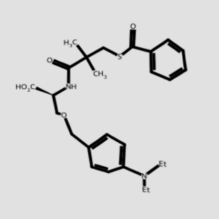 CCN(CC)c1ccc(COC[C@H](NC(=O)C(C)(C)CSC(=O)c2ccccc2)C(=O)O)cc1